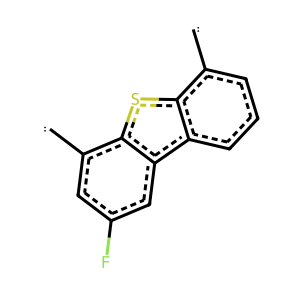 [CH]c1cccc2c1sc1c([CH])cc(F)cc12